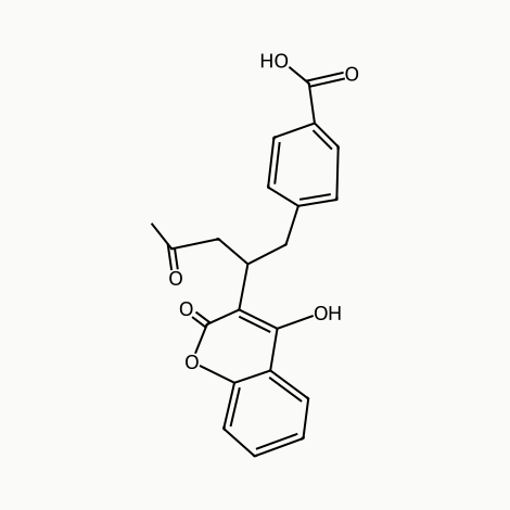 CC(=O)CC(Cc1ccc(C(=O)O)cc1)c1c(O)c2ccccc2oc1=O